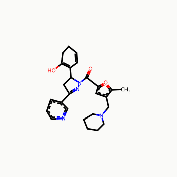 Cc1oc(C(=O)N2N=C(c3cccnc3)CC2C2=C(O)CCC=C2)cc1CN1CCCCC1